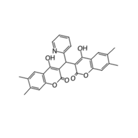 Cc1cc2oc(=O)c(C(c3ccccn3)c3c(O)c4cc(C)c(C)cc4oc3=O)c(O)c2cc1C